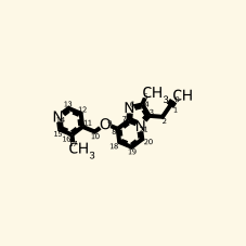 C#CCc1c(C)nc2c(OCc3ccncc3C)cccn12